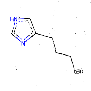 CC(C)(C)CCCc1c[nH]cn1